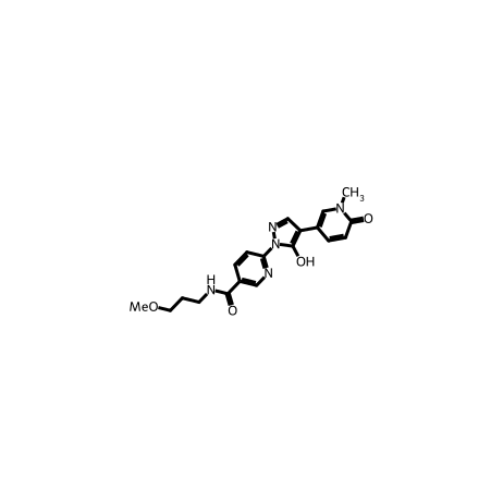 COCCCNC(=O)c1ccc(-n2ncc(-c3ccc(=O)n(C)c3)c2O)nc1